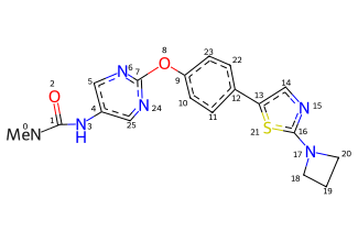 CNC(=O)Nc1cnc(Oc2ccc(-c3cnc(N4CCC4)s3)cc2)nc1